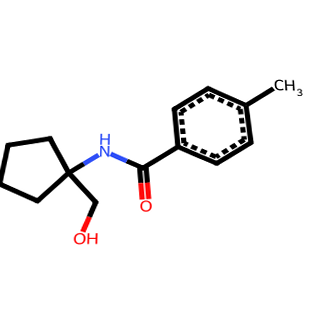 Cc1ccc(C(=O)NC2(CO)CCCC2)cc1